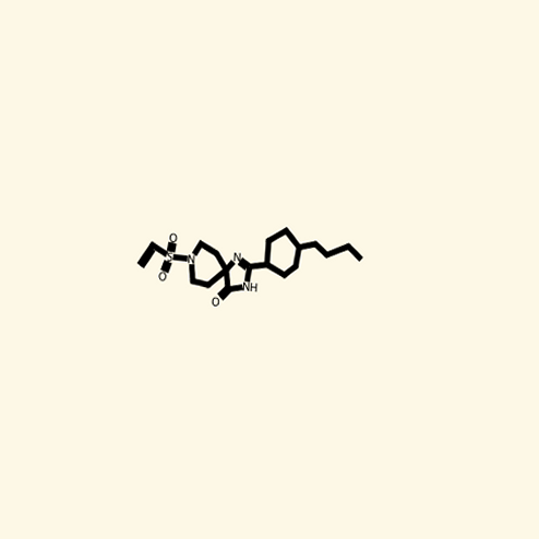 C=CS(=O)(=O)N1CCC2(CC1)N=C(C1CCC(CCCC)CC1)NC2=O